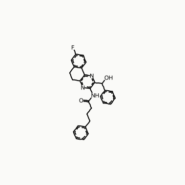 O=C(CCCc1ccccc1)Nc1nc2c(nc1C(O)c1ccccc1)-c1ccc(F)cc1CC2